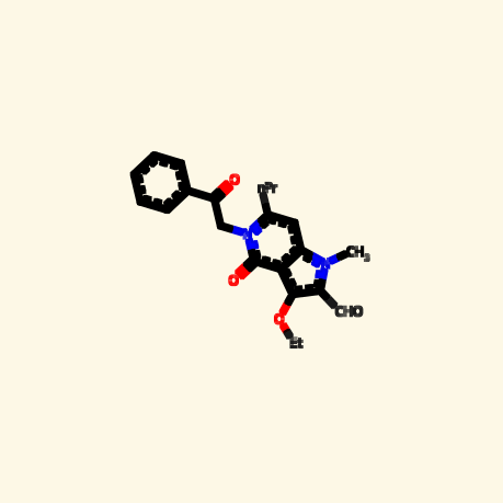 CCCc1cc2c(c(OCC)c(C=O)n2C)c(=O)n1CC(=O)c1ccccc1